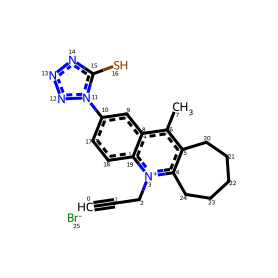 C#CC[n+]1c2c(c(C)c3cc(-n4nnnc4S)ccc31)CCCCC2.[Br-]